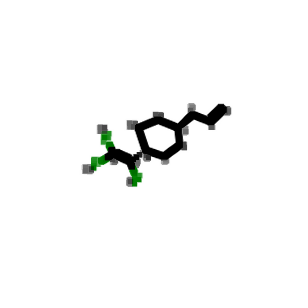 C=CC[C@H]1CC[C@H](C(F)=C(F)F)CC1